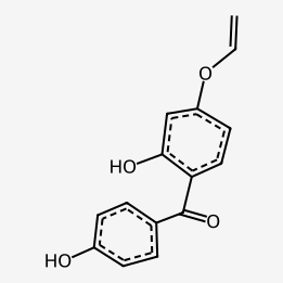 C=COc1ccc(C(=O)c2ccc(O)cc2)c(O)c1